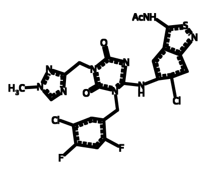 CC(=O)Nc1snc2cc(Cl)c(Nc3nc(=O)n(Cc4ncn(C)n4)c(=O)n3Cc3cc(Cl)c(F)cc3F)cc12